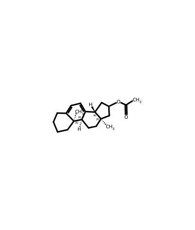 CC(=O)OC1C[C@H]2C3=CC=C4CCCC[C@]4(C)[C@@H]3CC[C@]2(C)C1